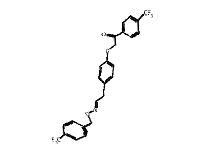 O=C(COc1ccc(CC=NOCc2ccc(C(F)(F)F)cc2)cc1)c1ccc(C(F)(F)F)cc1